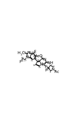 COc1nc(N[C@@H]2CN(C(C)=O)CC2(F)F)nn2ccc(-c3cc(F)c4nc(C)n(CCF)c4c3)c12